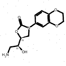 NC[C@H](O)[C@@H]1CN(c2ccc3c(c2)OCCO3)C(=O)O1